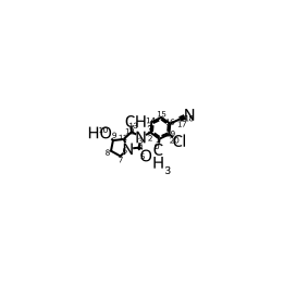 Cc1c(N2C(=O)N3CCC(O)C3C2C)ccc(C#N)c1Cl